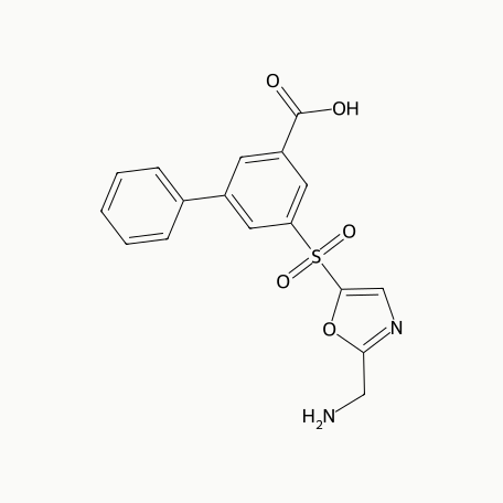 NCc1ncc(S(=O)(=O)c2cc(C(=O)O)cc(-c3ccccc3)c2)o1